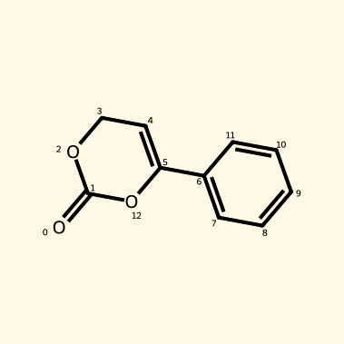 O=C1OCC=C(c2ccccc2)O1